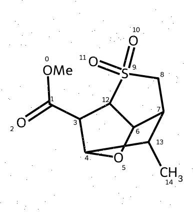 COC(=O)C1C2OC3C(CS(=O)(=O)C31)C2C